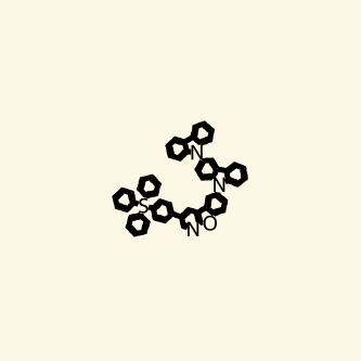 c1ccc(S(c2ccccc2)(c2ccccc2)c2ccc(-c3cnc4oc5ccc(-n6c7ccccc7c7cc(-n8c9ccccc9c9ccccc98)ccc76)cc5c4c3)cc2)cc1